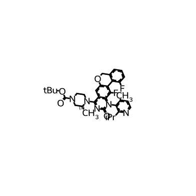 Cc1ccnc(C(C)C)c1-n1c(=O)nc(N2CCN(C(=O)OC(C)(C)C)C[C@@H]2C)c2cc3c(c(F)c21)-c1c(F)cccc1CO3